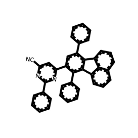 N#Cc1cc(-c2cc(-c3ccccc3)c3c(c2-c2ccccc2)-c2cccc4cccc-3c24)nc(-c2ccccc2)n1